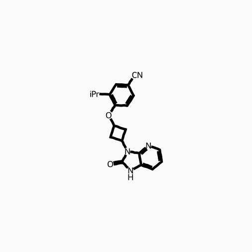 CC(C)c1cc(C#N)ccc1OC1CC(n2c(=O)[nH]c3cccnc32)C1